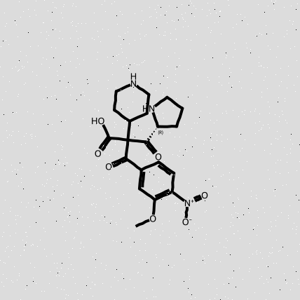 COc1cc(C(=O)C(C(=O)O)(C(=O)[C@H]2CCCN2)C2CCNCC2)ccc1[N+](=O)[O-]